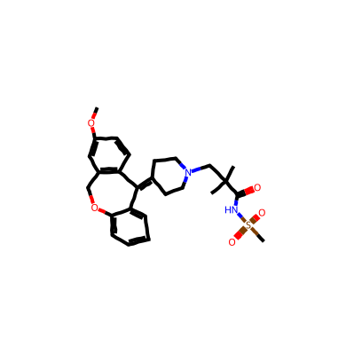 COc1ccc2c(c1)COc1ccccc1C2=C1CCN(CC(C)(C)C(=O)NS(C)(=O)=O)CC1